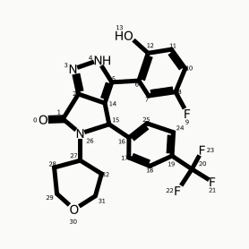 O=C1c2n[nH]c(-c3cc(F)ccc3O)c2C(c2ccc(C(F)(F)F)cc2)N1C1CCOCC1